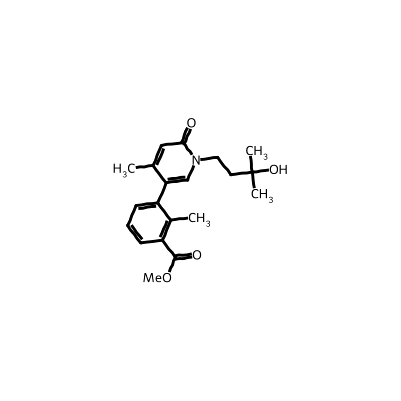 COC(=O)c1cccc(-c2cn(CCC(C)(C)O)c(=O)cc2C)c1C